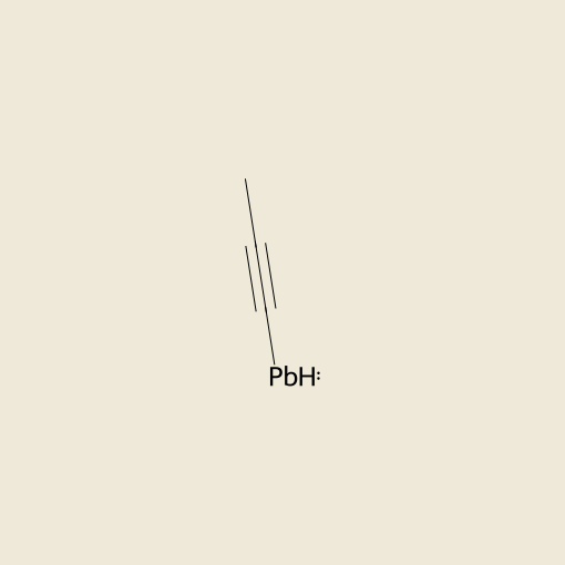 CC#[C][PbH]